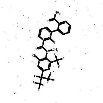 CN(C(=O)c1cccc(-c2ccccc2C(N)=O)c1F)c1c(Cl)cc(C(F)(C(F)(F)F)C(F)(F)F)cc1C(F)(F)F